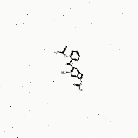 CC(=O)Oc1ccccc1C(=O)c1cc2c(cc1O)C(OC(=O)O)=C2